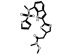 CON(C)C(=O)CC1CN=C(c2cc3cccc(N(C)S(=O)(=O)c4cccs4)c3[nH]2)S1